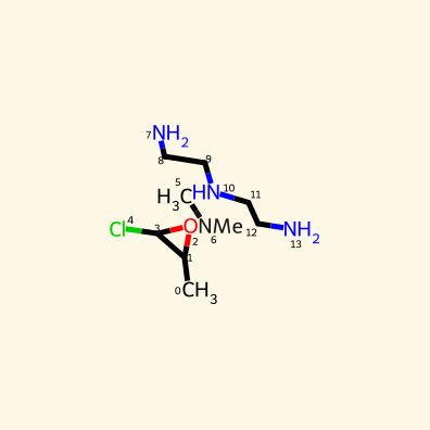 CC1OC1Cl.CNC.NCCNCCN